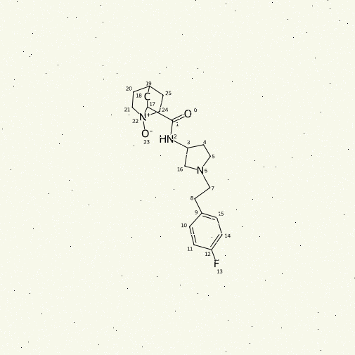 O=C(NC1CCN(CCc2ccc(F)cc2)C1)C1CC2CC[N+]1([O-])CC2